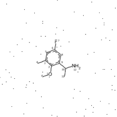 COc1c(C)cc(F)cc1C(C)N